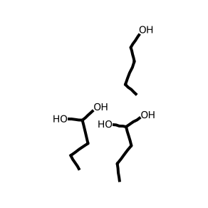 CCCC(O)O.CCCC(O)O.CCCCO